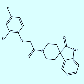 O=C(COc1ccc(F)cc1Br)N1CCC2(CC1)C(=O)Nc1ccccc12